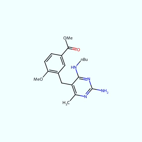 CCCCNc1nc(N)nc(C)c1Cc1cc(C(=O)OC)ccc1OC